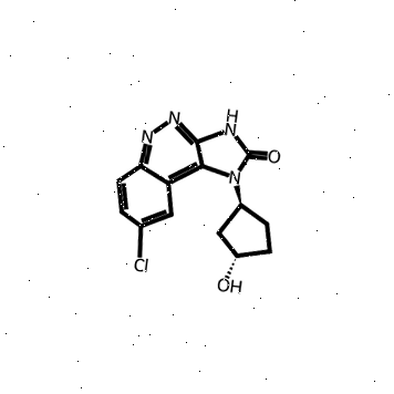 O=c1[nH]c2nnc3ccc(Cl)cc3c2n1[C@H]1CC[C@H](O)C1